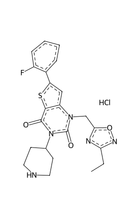 CCc1noc(Cn2c(=O)n(C3CCNCC3)c(=O)c3sc(-c4ccccc4F)cc32)n1.Cl